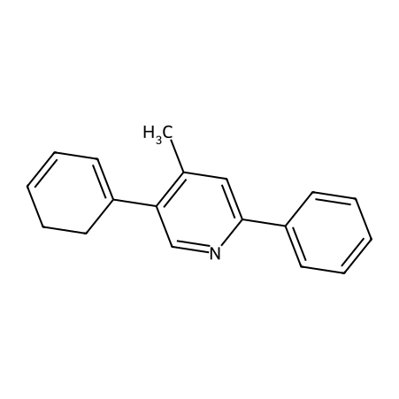 Cc1cc(-c2ccccc2)ncc1C1=CC=CCC1